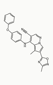 Cc1noc(-c2cn3ncc(C#N)c(Nc4ccc(Oc5ccccc5)cc4)c3c2C)n1